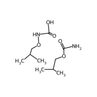 CC(C)COC(N)=O.CC(C)CONC(=O)O